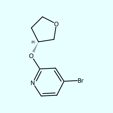 Brc1ccnc(O[C@@H]2CCOC2)c1